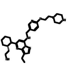 CCc1cnn2c(NCc3ccc(OCCN4CCNCC4)nc3)cc(N3CCCC[C@H]3CCO)nc12